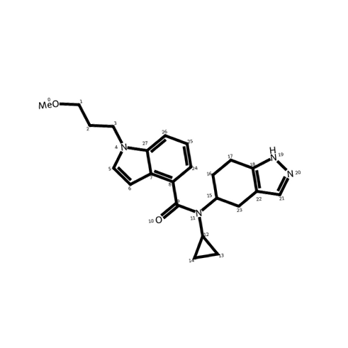 COCCCn1ccc2c(C(=O)N(C3CC3)C3CCc4[nH]ncc4C3)cccc21